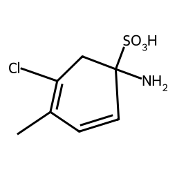 CC1=C(Cl)CC(N)(S(=O)(=O)O)C=C1